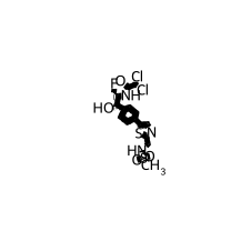 CS(=O)(=O)NCc1ncc(-c2ccc([C@H](O)[C@@H](CF)NC(=O)C(Cl)Cl)cc2)s1